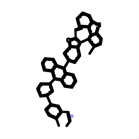 C=Cc1oc2cc(-c3c4ccccc4c(-c4cccc(-c5ccc(C)c(/C=C\C)c5)c4)c4ccccc34)ccc2c1-c1c(C)ccc2sc3ccccc3c12